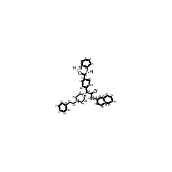 Nc1ccccc1NC(=O)c1ccc(C(C(=O)Nc2ccc3ccccc3c2)N2CCN(CCc3ccccc3)CC2)cc1